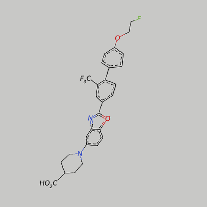 O=C(O)C1CCN(c2ccc3oc(-c4ccc(-c5ccc(OCCF)cc5)c(C(F)(F)F)c4)nc3c2)CC1